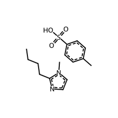 CCCCc1nccn1C.Cc1ccc(S(=O)(=O)O)cc1